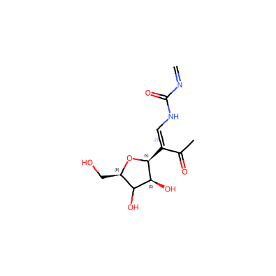 C=NC(=O)N/C=C(\C(C)=O)[C@@H]1O[C@H](CO)C(O)[C@@H]1O